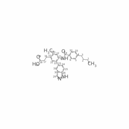 CCCCc1ccc(C(=O)Nc2cc(C)c(CCC(=O)O)cc2-c2ccc3[nH]ncc3c2)cc1